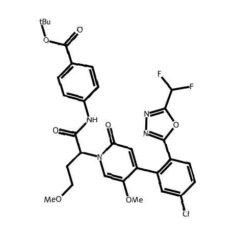 COCCC(C(=O)Nc1ccc(C(=O)OC(C)(C)C)cc1)n1cc(OC)c(-c2cc(Cl)ccc2-c2nnc(C(F)F)o2)cc1=O